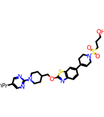 CCCc1cnc(N2CCC(COc3nc4ccc(C5=CCN(S(=O)(=O)CCCO)CC5)cc4s3)CC2)nc1